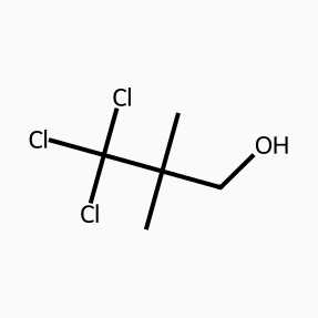 CC(C)(CO)C(Cl)(Cl)Cl